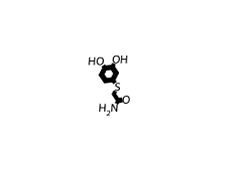 NC(=O)CSc1ccc(O)c(O)c1